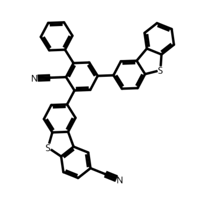 N#Cc1ccc2sc3ccc(-c4cc(-c5ccc6sc7ccccc7c6c5)cc(-c5ccccc5)c4C#N)cc3c2c1